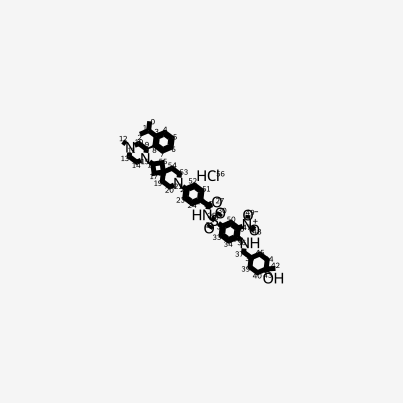 CC(C)c1ccccc1[C@@H]1CN(C)CCN1C1CC2(CCN(c3ccc(C(=O)NS(=O)(=O)c4ccc(NCC5CCC(C)(O)CC5)c([N+](=O)[O-])c4)cc3)CC2)C1.Cl